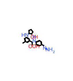 Cc1cc(NC2CCCC2O)cc(C(Nc2ccc(C=NN)cc2)C(=O)O)c1